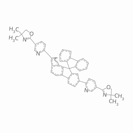 CC1(C)COC(c2ccc(-c3ccc4c(c3)C3(c5ccccc5-c5ccccc53)c3c-4ccc4cc(-c5ccc(C6=NC(C)(C)CO6)cn5)ccc34)nc2)=N1